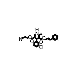 CC1=C(C(=O)OCC=Cc2ccccc2)C(c2cccc(Cl)c2)C(C(=O)OCCC#N)=CN1